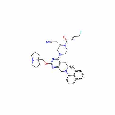 Cc1cccc2cccc(N3CCc4c(nc(OCC56CCCN5CCC6)nc4N4CCN(C(=O)/C=C/CF)[C@@H](CC#N)C4)C3)c12